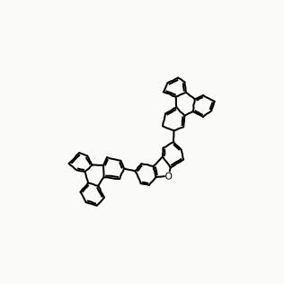 C1=c2c(c3ccccc3c3ccccc23)=CC(c2ccc3oc4ccc(-c5ccc6c7ccccc7c7ccccc7c6c5)cc4c3c2)C1